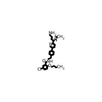 C=N/N=C(\C=C\CN)c1ccc(-c2ccc(CCNC(=O)c3cc(Cl)ccc3OCCCC)cc2)cn1